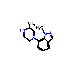 C[C@H]1CN(c2cccc3cnn(C)c23)CCN1